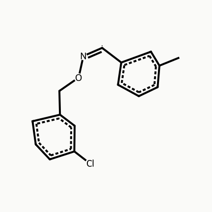 Cc1cccc(/[C]=N\OCc2cccc(Cl)c2)c1